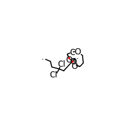 [CH2]CCC(Cl)(Cl)C[C]1OC2CCOCC(CCOC2)O1